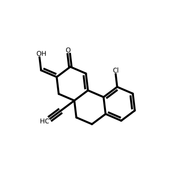 C#CC12CCc3cccc(Cl)c3C1=CC(=O)C(=CO)C2